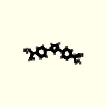 N=C(N)c1ccc(-c2csc(-c3ccc(C(=N)N)cc3)c2)cc1